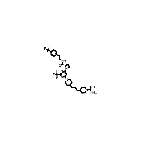 N=C(N)N1CCC(CCCC2CCN(c3cc(N4CC[C@H]4C(=O)NCCc4ccc(C(F)(F)F)cc4)nc(C(F)(F)F)n3)CC2)CC1